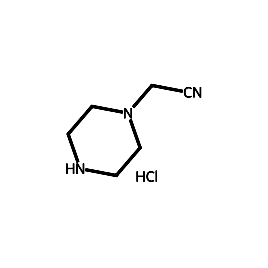 Cl.N#CCN1CCNCC1